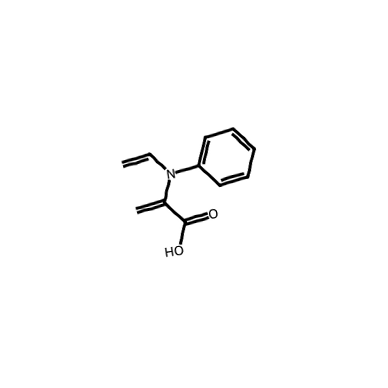 C=CN(C(=C)C(=O)O)c1ccccc1